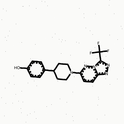 Oc1ccc(C2CCN(c3ccc4nnc(C(F)(F)F)n4n3)CC2)cc1